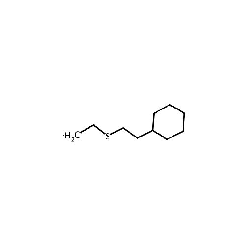 [CH2]CSCCC1CCCCC1